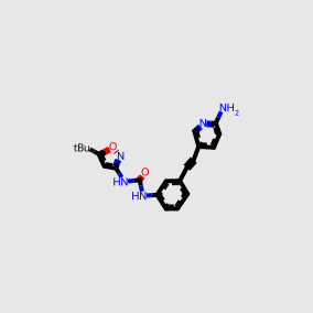 CC(C)(C)c1cc(NC(=O)Nc2cccc(C#Cc3ccc(N)nc3)c2)no1